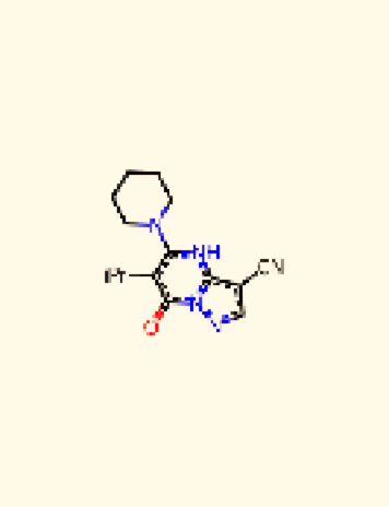 CC(C)c1c(N2CCCCC2)[nH]c2c(C#N)cnn2c1=O